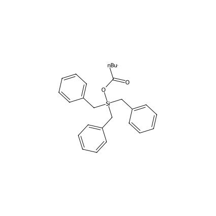 CCC[CH]C(=O)O[Si](Cc1ccccc1)(Cc1ccccc1)Cc1ccccc1